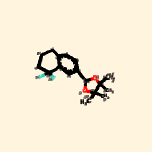 CC1(C)OB(c2ccc3c(c2)C(F)(F)CCC3)OC1(C)C